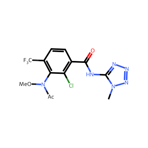 CON(C(C)=O)c1c(C(F)(F)F)ccc(C(=O)Nc2nnnn2C)c1Cl